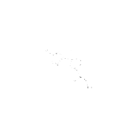 CC(C)(C)OC(=O)N1CCC(F)(c2ncc(Br)s2)C1